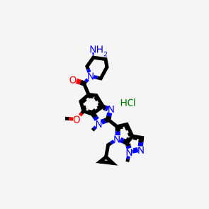 COc1cc(C(=O)N2CCC[C@@H](N)C2)cc2nc(-c3cc4cnn(C)c4n3CC3CC3)n(C)c12.Cl